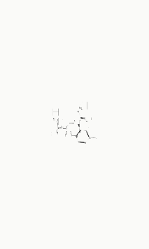 Cc1ccc2c(c1)N(C(=O)CCl)CC(C(N)=O)O2